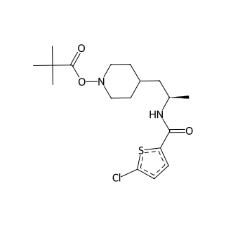 C[C@H](CC1CCN(OC(=O)C(C)(C)C)CC1)NC(=O)c1ccc(Cl)s1